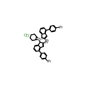 CC(C)C1=Cc2c(-c3ccc(C(C)C)cc3)cccc2[CH]1[Zr+2]1([CH]2C(C(C)C)=Cc3c(-c4ccc(C(C)C)cc4)cccc32)[CH]2CCCC[CH]21.[Cl-].[Cl-]